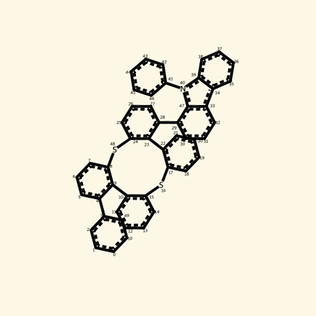 c1ccc(-c2cccc3c2-c2ccccc2Sc2ccccc2-c2c(cccc2-c2cccc4c5ccccc5n(-c5ccccc5)c24)S3)cc1